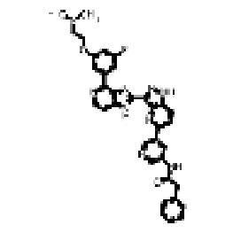 CN(C)CCOc1cc(F)cc(-c2nccc3[nH]c(-c4n[nH]c5ccc(-c6cncc(NC(=O)Cc7ccccc7)c6)nc45)nc23)c1